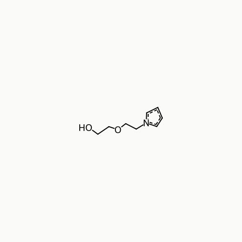 OCCOCCn1cccc1